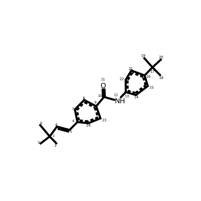 CC(C)(C)/C=C/c1ccc(C(=O)Nc2ccc(C(C)(C)C)cc2)cc1